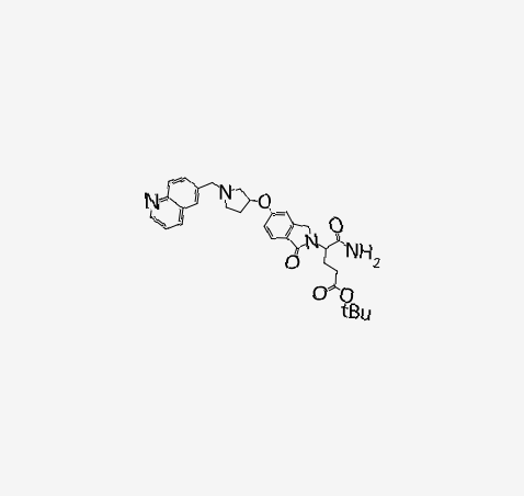 CC(C)(C)OC(=O)CCC(C(N)=O)N1Cc2cc(O[C@H]3CCN(Cc4ccc5ncccc5c4)C3)ccc2C1=O